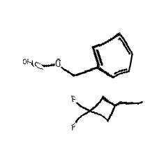 CC1CC(F)(F)C1.O=COCc1ccccc1